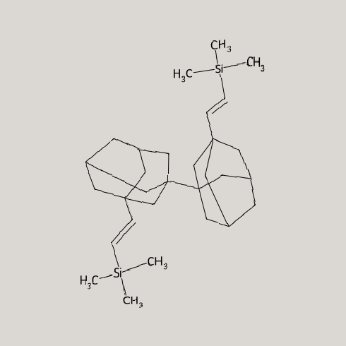 C[Si](C)(C)C=CC12CC3CC(C1)CC(C14CC5CC(CC(C=C[Si](C)(C)C)(C5)C1)C4)(C3)C2